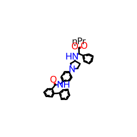 CCCOC(=O)C(NC1CCN(c2ccc(NC(=O)c3ccccc3-c3ccccc3)cc2)C1)c1ccccc1